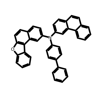 c1ccc(-c2ccc(N(c3ccc4ccc5ccccc5c4c3)c3ccc4ccc5oc6ccccc6c5c4c3)cc2)cc1